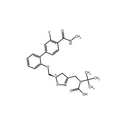 CNC(=O)c1ccc(-c2ccccc2OC[C@H]2CC(CN(C(=O)O)C(C)(C)C)=NO2)cc1F